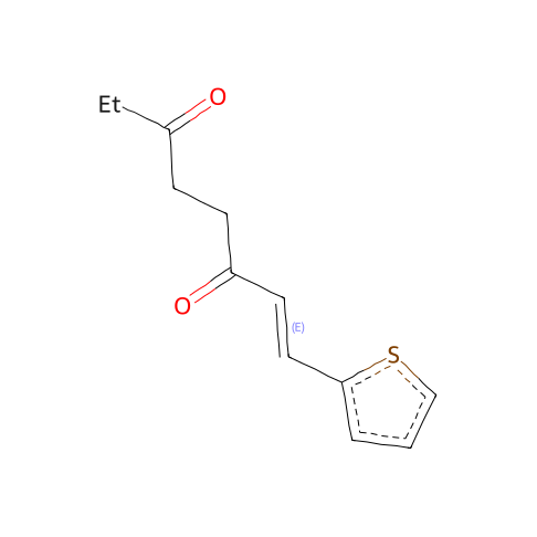 CCC(=O)CCC(=O)/C=C/c1cccs1